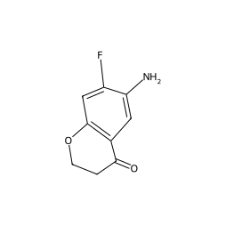 Nc1cc2c(cc1F)OCCC2=O